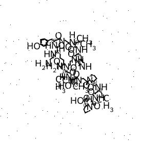 CC(C)C[C@H](NC(=O)CNC(=O)[C@H](Cc1c[nH]cn1)NC(=O)[C@@H](NC(=O)CNC(=O)[C@H](Cc1ccc(O)cc1)NC(=O)[C@H](CCCCN)NC(=O)CN)C(C)C)C(=O)N[C@H](C(=O)NCC(=O)N1CCC[C@H]1C(=O)N[C@@H](CC(C)C)C(=O)NCC(=O)N1CCC[C@H]1C(=O)O)[C@@H](C)O